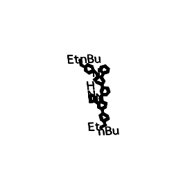 CCCCC(CC)Cc1ccc(-c2ccc3c(c2)c2cc[nH]c2n3-c2cccc(-c3ccc4c(c3)c3ccccc3n4-c3ccc(CC(CC)CCCC)cc3)c2)cc1